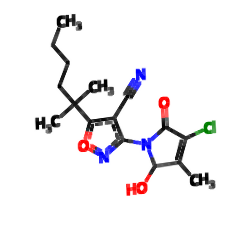 CCCCC(C)(C)c1onc(N2C(=O)C(Cl)=C(C)C2O)c1C#N